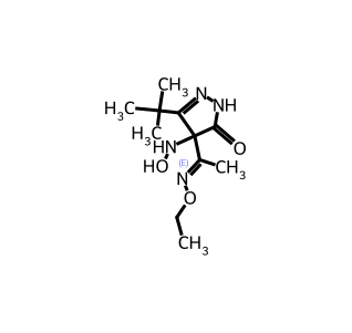 CCO/N=C(\C)C1(NO)C(=O)NN=C1C(C)(C)C